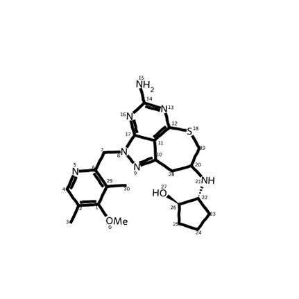 COc1c(C)cnc(Cn2nc3c4c(nc(N)nc42)SCC(N[C@@H]2CCC[C@H]2O)C3)c1C